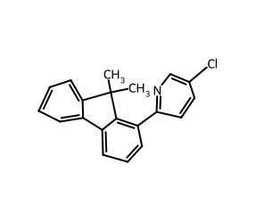 CC1(C)c2ccccc2-c2cccc(-c3ccc(Cl)cn3)c21